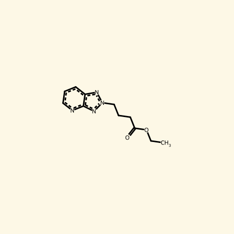 CCOC(=O)CCCn1nc2cccnc2n1